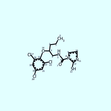 CCCC(CNC(=O)n1ccnc1S)Oc1c(Cl)cc(Cl)cc1Cl